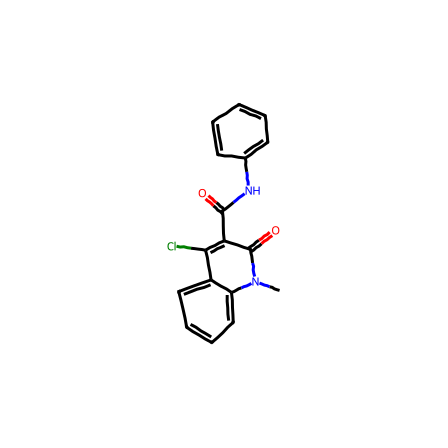 Cn1c(=O)c(C(=O)Nc2ccccc2)c(Cl)c2ccccc21